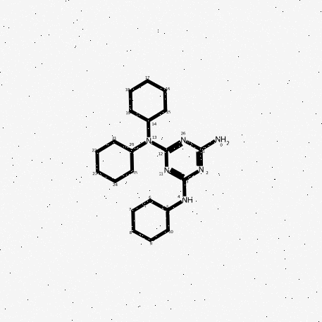 Nc1nc(NC2CCCCC2)nc(N(C2CCCCC2)C2CCCCC2)n1